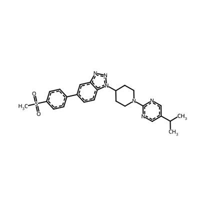 CC(C)c1cnc(N2CCC(n3nnc4cc(-c5ccc(S(C)(=O)=O)cc5)ccc43)CC2)nc1